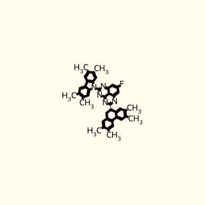 Cc1cc2c(cc1C)-c1cc(C)c(C)cc1[C@@H](C1=NC3=CC(F)=CC4=NC(n5c6cc(C)c(C)cc6c6cc(C)c(C)cc65)=NC(=N1)C34)C2